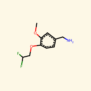 COc1cc(CN)ccc1OCC(F)F